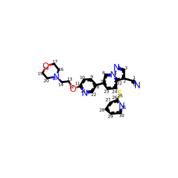 N#Cc1cnn2cc(-c3ccc(OCCN4CCOCC4)nc3)cc(Sc3ccccn3)c12